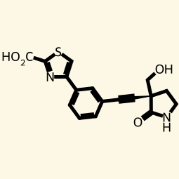 O=C(O)c1nc(-c2cccc(C#C[C@@]3(CO)CCNC3=O)c2)cs1